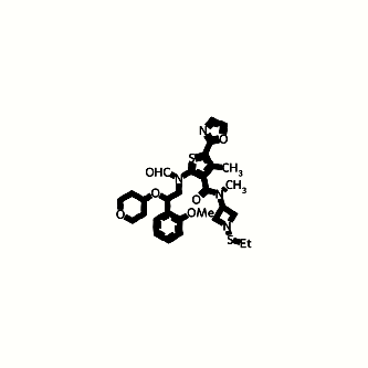 CCSN1CC(N(C)C(=O)c2c(N(C=O)CC(OC3CCOCC3)c3ccccc3OC)sc(-c3ncco3)c2C)C1